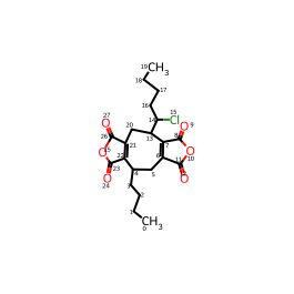 CCCCC1CC2=C(C(=O)OC2=O)C(C(Cl)CCCC)CC2=C1C(=O)OC2=O